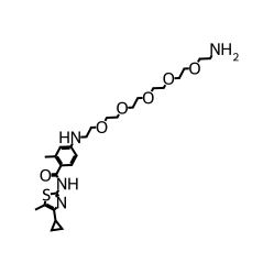 Cc1cc(NCCOCCOCCOCCOCCOCCN)ccc1C(=O)Nc1nc(C2CC2)c(C)s1